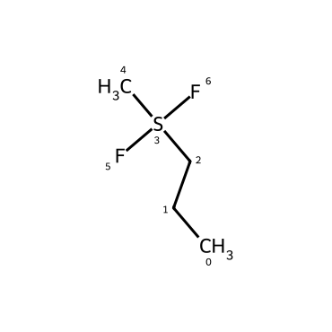 CCCS(C)(F)F